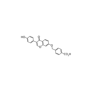 O=C(O)c1ccc(COc2ccc3c(=O)c(-c4ccc(O)cc4)coc3c2)cc1